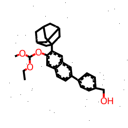 CCOC(OC)Oc1cc2ccc(-c3ccc(CO)cc3)cc2cc1C12CC3CC(CC(C3)C1)C2